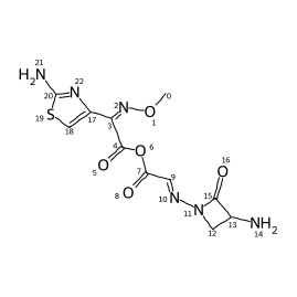 CON=C(C(=O)OC(=O)C=NN1CC(N)C1=O)c1csc(N)n1